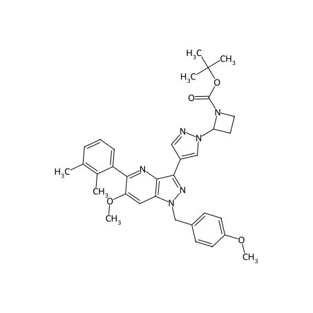 COc1ccc(Cn2nc(-c3cnn(C4CCN4C(=O)OC(C)(C)C)c3)c3nc(-c4cccc(C)c4C)c(OC)cc32)cc1